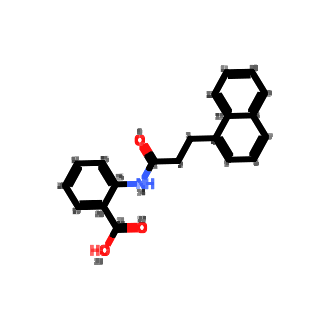 O=C(CCc1cccc2ccccc12)Nc1ccccc1C(=O)O